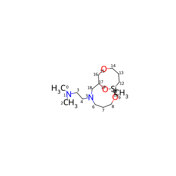 CN(C)CCN1CCCO[Si]2(C)CCCOCC(C1)O2